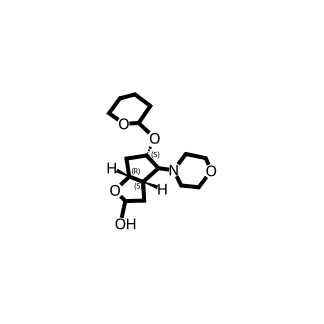 OC1C[C@H]2C(N3CCOCC3)[C@@H](OC3CCCCO3)C[C@H]2O1